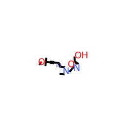 CCN(C/C=C/C#CC(C)(C)OC)Cc1ncc(CO)o1